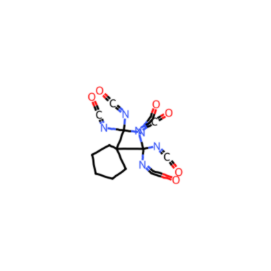 O=C=NC(N=C=O)(N=C=O)C1(C(N=C=O)(N=C=O)N=C=O)CCCCC1